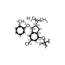 Cc1ccccc1O[C@H]1c2cc(Cl)cc(OC(F)(F)F)c2C[C@@H]1N(C)C